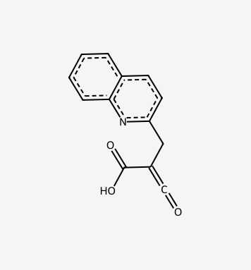 O=C=C(Cc1ccc2ccccc2n1)C(=O)O